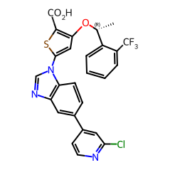 C[C@@H](Oc1cc(-n2cnc3cc(-c4ccnc(Cl)c4)ccc32)sc1C(=O)O)c1ccccc1C(F)(F)F